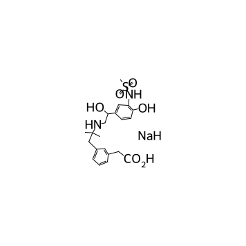 CC(C)(Cc1cccc(CC(=O)O)c1)NCC(O)c1ccc(O)c(NS(C)(=O)=O)c1.[NaH]